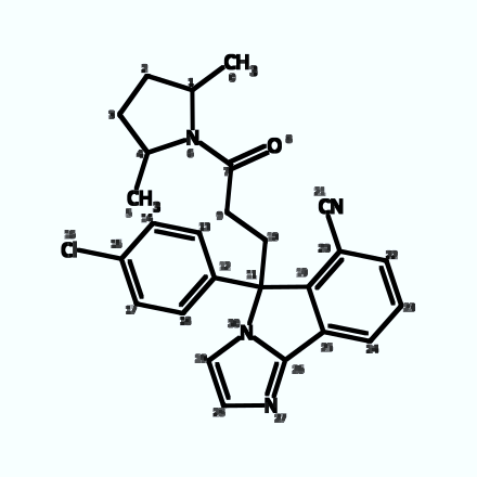 CC1CCC(C)N1C(=O)CCC1(c2ccc(Cl)cc2)c2c(C#N)cccc2-c2nccn21